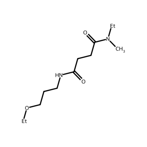 CCOCCCNC(=O)CCC(=O)N(C)CC